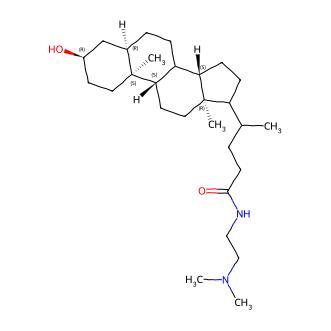 CC(CCC(=O)NCCN(C)C)C1CC[C@H]2C3CC[C@@H]4C[C@H](O)CC[C@]4(C)[C@H]3CC[C@]12C